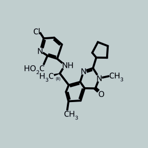 Cc1cc([C@@H](C)Nc2ccc(Cl)nc2C(=O)O)c2nc(C3CCCC3)n(C)c(=O)c2c1